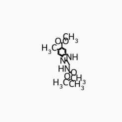 COC(=O)c1cc2[nH]c(CNC(=O)OC(C)(C)C)nc2cc1C